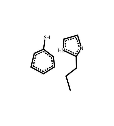 CCCc1ncc[nH]1.Sc1ccccc1